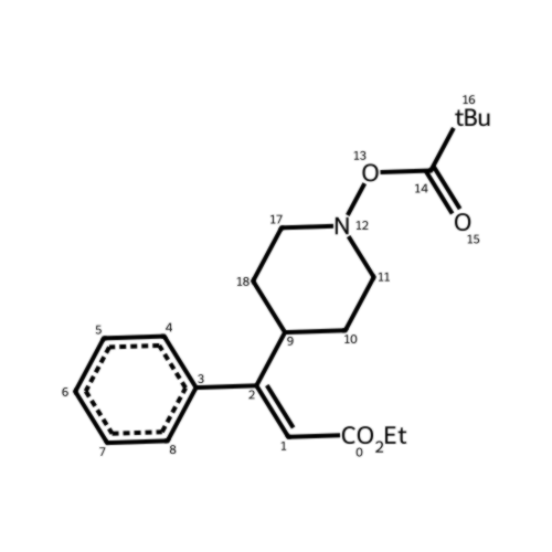 CCOC(=O)/C=C(/c1ccccc1)C1CCN(OC(=O)C(C)(C)C)CC1